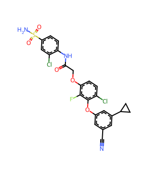 N#Cc1cc(Oc2c(Cl)ccc(OCC(=O)Nc3ccc(S(N)(=O)=O)cc3Cl)c2F)cc(C2CC2)c1